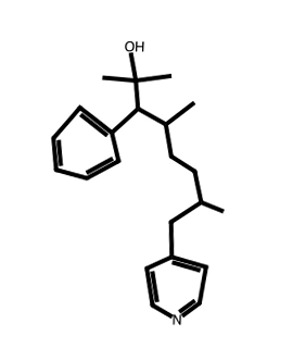 CC(CCC(C)C(c1ccccc1)C(C)(C)O)Cc1ccncc1